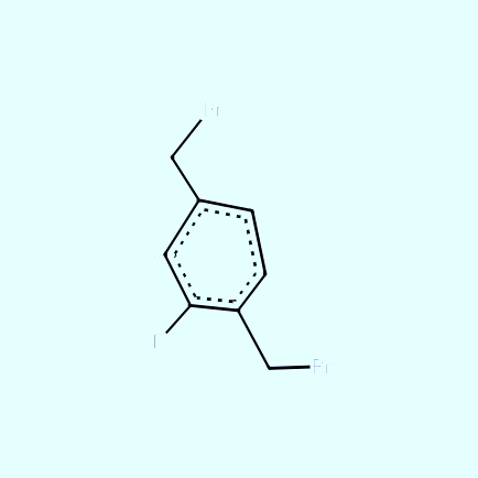 Fc1cc(CBr)ccc1CBr